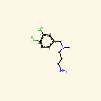 CN(CCCN)Cc1ccc(Cl)c(Cl)c1